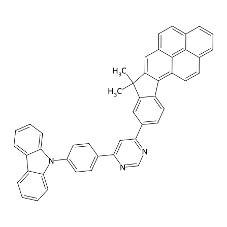 CC1(C)c2cc(-c3cc(-c4ccc(-n5c6ccccc6c6ccccc65)cc4)ncn3)ccc2-c2c1cc1ccc3cccc4ccc2c1c34